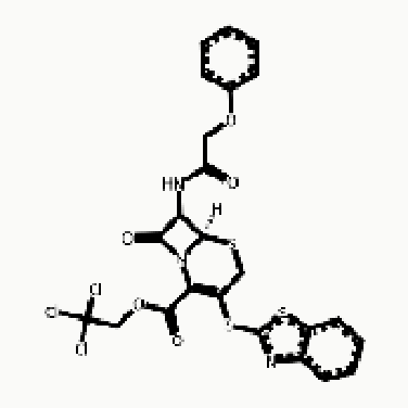 O=C(COc1ccccc1)NC1C(=O)N2C(C(=O)OCC(Cl)(Cl)Cl)=C(Sc3nc4ccccc4s3)CS[C@H]12